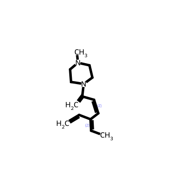 C=CC(/C=C\C(=C)N1CCN(C)CC1)=C/C